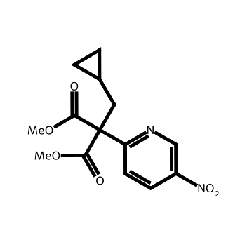 COC(=O)C(CC1CC1)(C(=O)OC)c1ccc([N+](=O)[O-])cn1